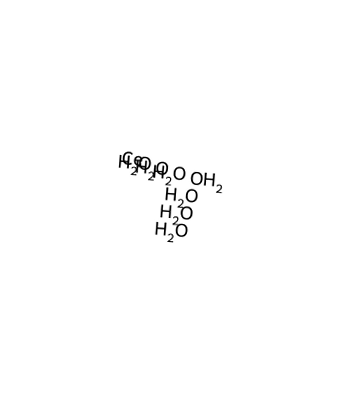 O.O.O.O.O.O.O.[Ce]